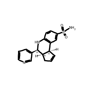 NS(=O)(=O)c1ccc2c(c1)[C@H]1C=CC[C@H]1[C@@H](c1cccnc1)N2